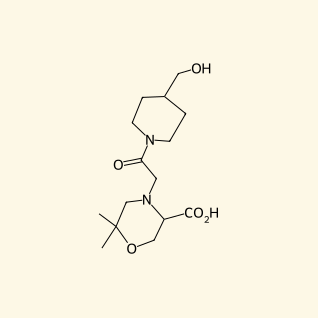 CC1(C)CN(CC(=O)N2CCC(CO)CC2)C(C(=O)O)CO1